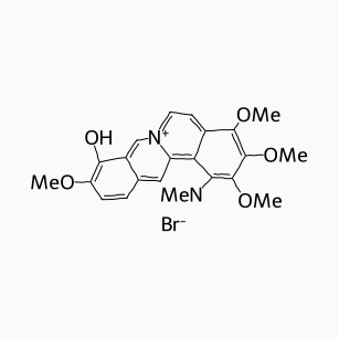 CNc1c(OC)c(OC)c(OC)c2cc[n+]3cc4c(O)c(OC)ccc4cc3c12.[Br-]